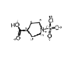 O=C(O)C1CCN(S(=O)(=O)Cl)CC1